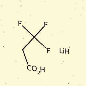 O=C(O)CC(F)(F)F.[LiH]